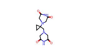 O=C1CN(CC2(N3CC(=O)NC(=O)C3)CC2)CC(=O)N1